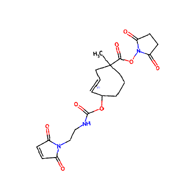 CC1(C(=O)ON2C(=O)CCC2=O)C/C=C/C(OC(=O)NCCN2C(=O)C=CC2=O)CCC1